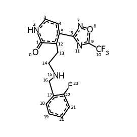 O=c1[nH]ccc(-c2noc(C(F)(F)F)n2)c1CCNCc1ccccc1F